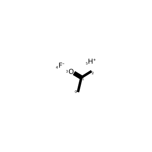 CC(C)=O.[F-].[H+]